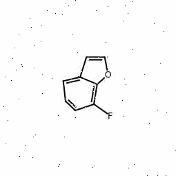 Fc1cccc2c[c]oc12